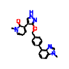 Cn1cccc(-c2c[nH]nc2OCc2ccc(-c3cccc4c3ncn4C)cc2)c1=O